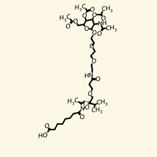 CCC[C@@](COCCC(=O)NCCOCCOCCOC1OC(COC(C)=O)C(OC(C)=O)C(OC(C)=O)C1NC(C)=O)(ONC(=O)CCCCCCC(=O)O)C(C)C